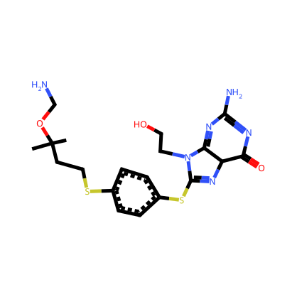 CC(C)(CCSc1ccc(SC2=NC3C(=O)N=C(N)N=C3N2CCO)cc1)OCN